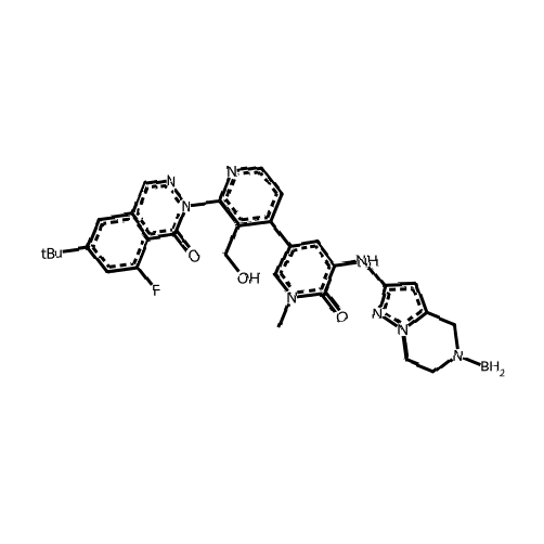 BN1CCn2nc(Nc3cc(-c4ccnc(-n5ncc6cc(C(C)(C)C)cc(F)c6c5=O)c4CO)cn(C)c3=O)cc2C1